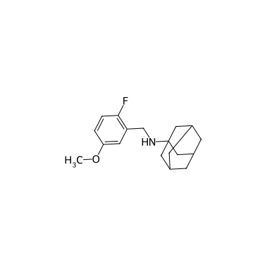 COc1ccc(F)c(CNC23CC4CC(CC(C4)C2)C3)c1